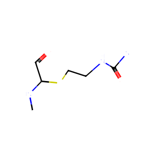 CNC(C=O)SCCNC(N)=O